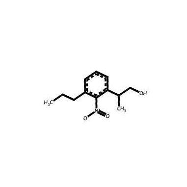 CCCc1cccc([C](C)CO)c1[N+](=O)[O-]